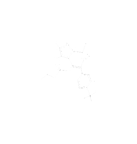 CCOC(=O)OC(=C(C#N)c1ccc(C(C)(C)C)cc1)c1c(Cl)c(C)nn1CC